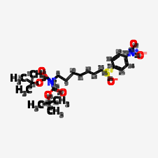 CC(C)(C)OC(=O)N(CCCCCCC[S+]([O-])c1ccc([N+](=O)[O-])cc1)C(=O)OC(C)(C)C